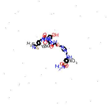 Cc1ncsc1-c1ccc(CNC(=O)[C@@H]2C[C@@H](O)CN2C(=O)C(NC(=O)CCOCCN2CCN(CCNc3ccc(S(N)(=O)=O)cc3[N+](=O)[O-])CC2)C(C)(C)C)cc1